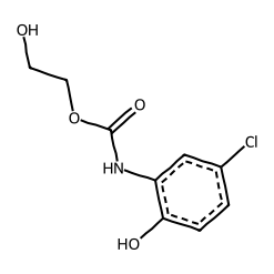 O=C(Nc1cc(Cl)ccc1O)OCCO